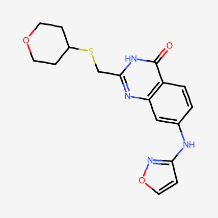 O=c1[nH]c(CSC2CCOCC2)nc2cc(Nc3ccon3)ccc12